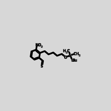 CC(C)(C)[Si](C)(C)OCCCCCc1c(C=S)cccc1[N+](=O)[O-]